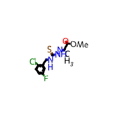 COC(=O)/C(C)=N/NC(=S)NCc1cc(F)ccc1Cl